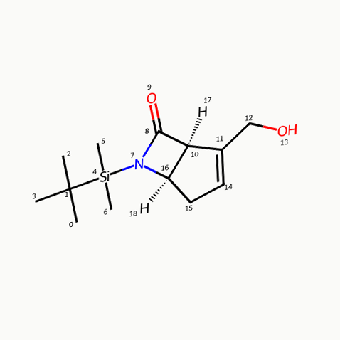 CC(C)(C)[Si](C)(C)N1C(=O)[C@H]2C(CO)=CC[C@H]21